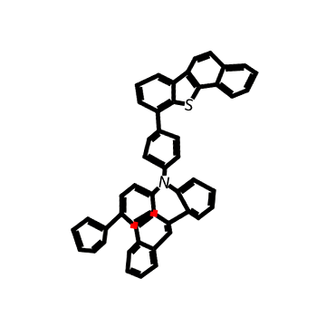 c1ccc(-c2ccc(N(c3ccc(-c4cccc5c4sc4c6ccccc6ccc54)cc3)c3ccccc3-c3ccc4ccccc4c3)cc2)cc1